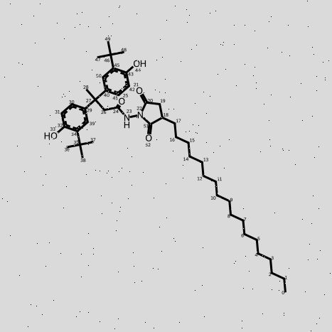 CCCCCCCCCCCCCCCCCCC1CC(=O)N(NC(=O)CC(C)(c2ccc(O)c(C(C)(C)C)c2)c2ccc(O)c(C(C)(C)C)c2)C1=O